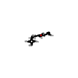 Cc1cc(OCCCC(=O)NCCNC(=O)[C@H](CS(=O)(=O)O)NC(=O)CN2CCN(CC(=O)OC(C)(C)C)CCN(CC(=O)OC(C)(C)C)CCN(CC(=O)OC(C)(C)C)CC2)cc(C)c1S(=O)(=O)N[C@@H](CNC(=O)CCCCc1ccc2c(n1)N(C(=O)OC(C)(C)C)CCC2)C(=O)OC(C)(C)C